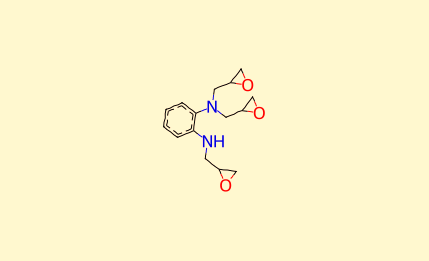 c1ccc(N(CC2CO2)CC2CO2)c(NCC2CO2)c1